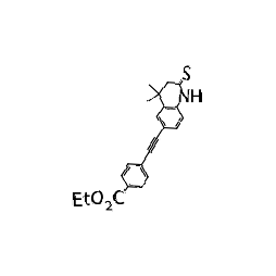 CCOC(=O)c1ccc(C#Cc2ccc3c(c2)C(C)(C)CC(=S)N3)cc1